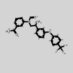 CC(CN(C=O)c1cccc(C(N)=O)c1)c1cccc(Oc2ccc(C(F)(F)F)cc2)c1